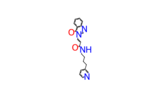 O=C(C=Cn1cnc2ccccc2c1=O)NCCCCc1cccnc1